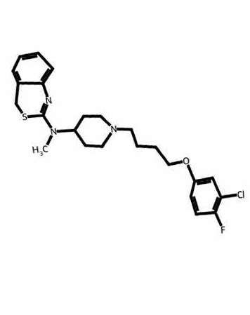 CN(C1=Nc2ccccc2CS1)C1CCN(CCCCOc2ccc(F)c(Cl)c2)CC1